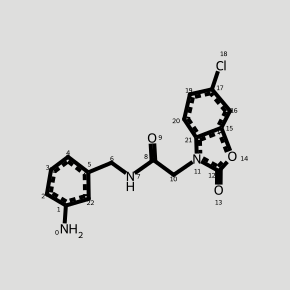 Nc1cccc(CNC(=O)Cn2c(=O)oc3cc(Cl)ccc32)c1